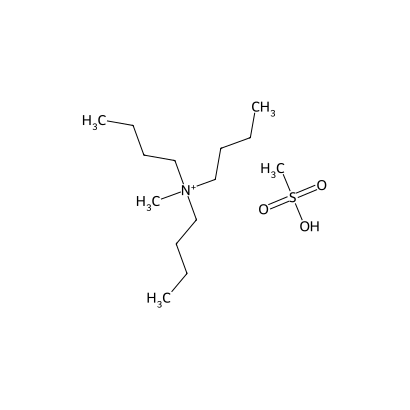 CCCC[N+](C)(CCCC)CCCC.CS(=O)(=O)O